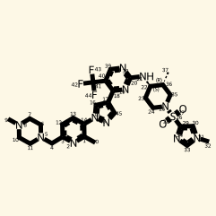 Cc1nc(CN2CCN(C)CC2)ccc1-n1cc(-c2nc(N[C@H]3CCN(S(=O)(=O)c4cn(C)cn4)C[C@H]3C)ncc2C(F)(F)F)cn1